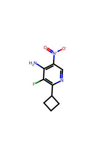 Nc1c([N+](=O)[O-])cnc(C2CCC2)c1F